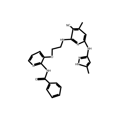 Cc1cc(Nc2cc(C)c(C#N)c(NCCOc3cccnc3NC(=O)c3ccccc3)n2)n[nH]1